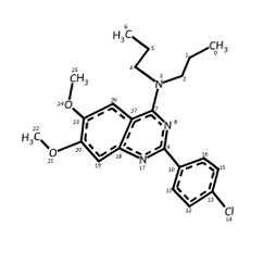 CCCN(CCC)c1nc(-c2ccc(Cl)cc2)nc2cc(OC)c(OC)cc12